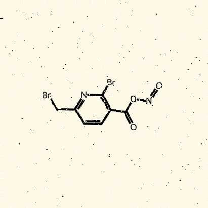 O=NOC(=O)c1ccc(CBr)nc1Br